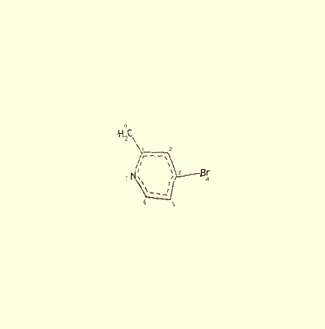 [CH2]c1cc(Br)ccn1